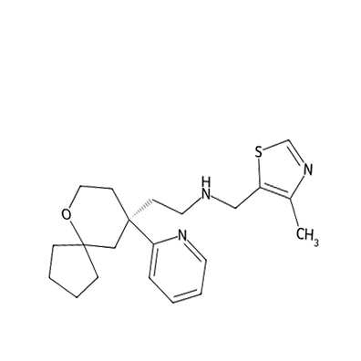 Cc1ncsc1CNCC[C@@]1(c2ccccn2)CCOC2(CCCC2)C1